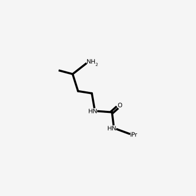 CC(N)CCNC(=O)NC(C)C